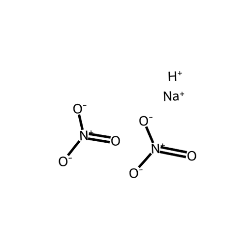 O=[N+]([O-])[O-].O=[N+]([O-])[O-].[H+].[Na+]